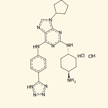 Cl.Cl.N[C@H]1CC[C@H](Nc2nc(Nc3ccc(-c4nnn[nH]4)cc3)c3ncn(C4CCCC4)c3n2)CC1